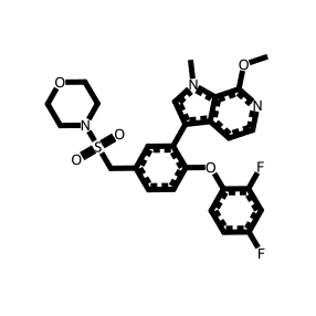 COc1nccc2c(-c3cc(CS(=O)(=O)N4CCOCC4)ccc3Oc3ccc(F)cc3F)cn(C)c12